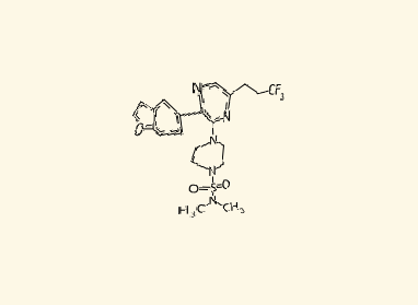 CN(C)S(=O)(=O)N1CCN(c2nc(CCC(F)(F)F)cnc2-c2ccc3occc3c2)CC1